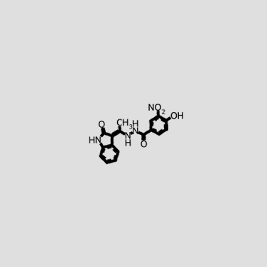 CC(NNC(=O)c1ccc(O)c([N+](=O)[O-])c1)=C1C(=O)Nc2ccccc21